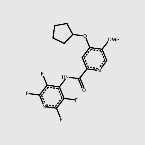 COc1cnc(C(=O)Nc2c(F)c(F)nc(F)c2F)cc1OC1CCCC1